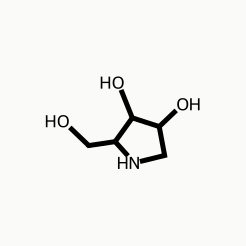 OCC1NCC(O)C1O